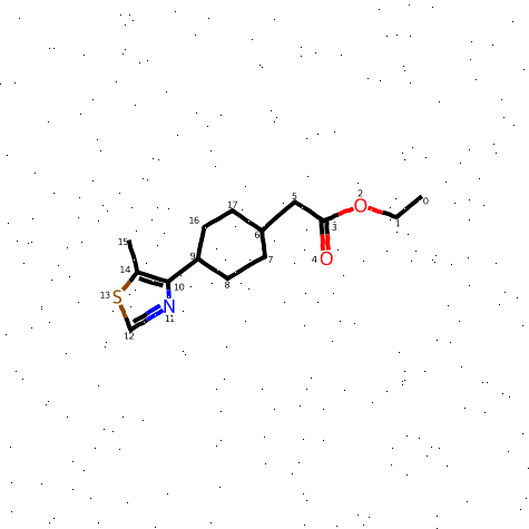 CCOC(=O)CC1CCC(c2ncsc2C)CC1